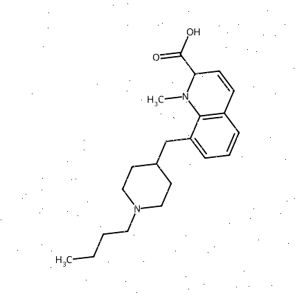 CCCCN1CCC(Cc2cccc3c2N(C)C(C(=O)O)C=C3)CC1